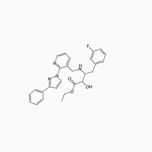 CCOC(=O)C(O)C(Cc1cccc(F)c1)NCc1cccnc1-n1ccc(-c2ccccc2)n1